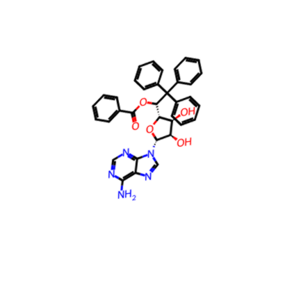 Nc1ncnc2c1ncn2[C@@H]1O[C@H](C(OC(=O)c2ccccc2)C(c2ccccc2)(c2ccccc2)c2ccccc2)[C@@H](O)[C@H]1O